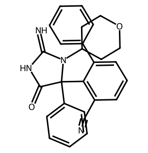 N#Cc1cccc(-c2ccccc2)c1C1(c2ccccc2)C(=O)NC(=N)N1C1CCOCC1